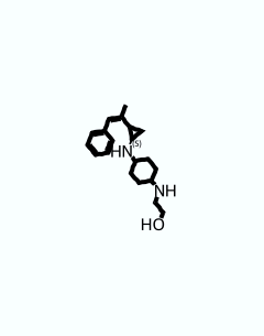 CC(=Cc1ccccc1)C1C[C@@H]1NC1CCC(NCCO)CC1